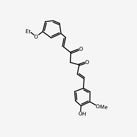 CCOc1cccc(/C=C/C(=O)CC(=O)/C=C/c2ccc(O)c(OC)c2)c1